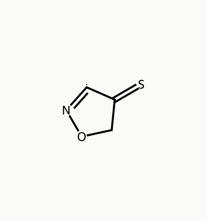 S=C1[C]=NOC1